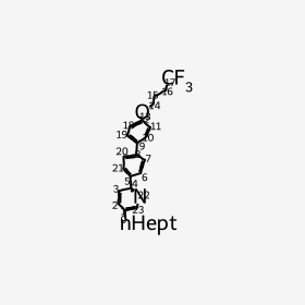 CCCCCCCc1ccc(-c2ccc(-c3ccc(OCCCC(F)(F)F)cc3)cc2)nc1